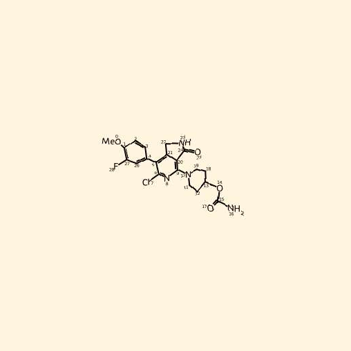 COc1ccc(-c2c(Cl)nc(N3CCC(OC(N)=O)CC3)c3c2CNC3=O)cc1F